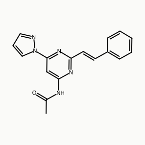 CC(=O)Nc1cc(-n2cccn2)nc(C=Cc2ccccc2)n1